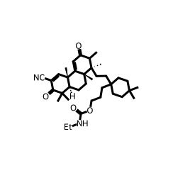 CCNC(=O)OCCCC1(CC[C@]2(C)C(C)C(=O)C=C3[C@@]4(C)C=C(C#N)C(=O)C(C)(C)[C@@H]4CC[C@]32C)CCC(C)(C)CC1